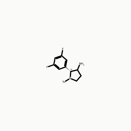 [2H]N1CCC(N)[C@H]1c1cc(F)cc(F)c1